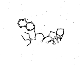 CC[Si](CC)(CC)OC(CC(=O)N1CC23CCC(C[C@H]2S1(=O)=O)C3(C)C)c1ccc2ncccc2c1